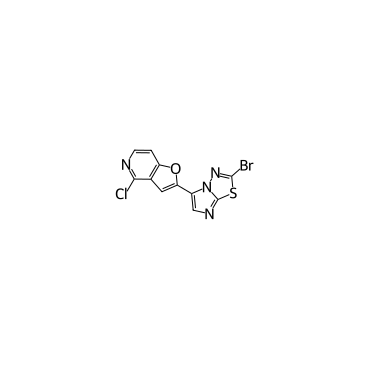 Clc1nccc2oc(-c3cnc4sc(Br)nn34)cc12